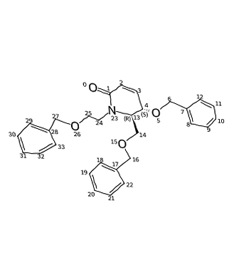 O=C1C=C[C@H](OCc2ccccc2)[C@@H](COCc2ccccc2)N1CCOCc1ccccc1